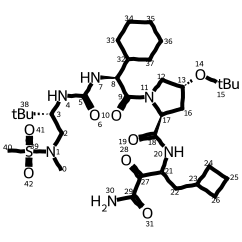 CN(C[C@@H](NC(=O)N[C@H](C(=O)N1C[C@H](OC(C)(C)C)C[C@H]1C(=O)NC(CC1CCC1)C(=O)C(N)=O)C1CCCCC1)C(C)(C)C)S(C)(=O)=O